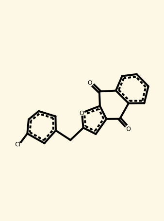 O=C1c2ccccc2C(=O)c2oc(Cc3cccc(Cl)c3)cc21